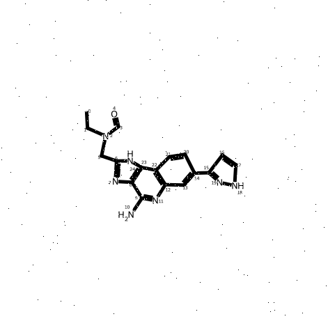 CCN(C=O)Cc1nc2c(N)nc3cc(-c4cc[nH]n4)ccc3c2[nH]1